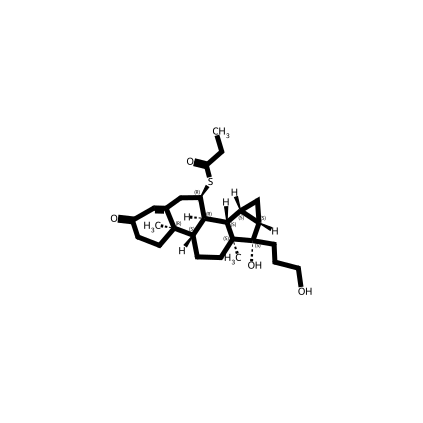 CCC(=O)S[C@@H]1CC2=CC(=O)CC[C@]2(C)[C@H]2CC[C@@]3(C)[C@@H]([C@@H]4C[C@@H]4[C@@]3(O)CCCO)[C@H]12